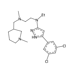 CCN(CCN(C)CC1CCCN(C)C1)c1cc(-c2cc(Cl)cc(Cl)c2)[nH]n1